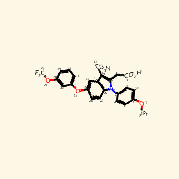 CC(C)Oc1ccc(-n2c(CC(=O)O)c(C(=O)O)c3cc(Oc4cccc(OC(F)(F)F)c4)ccc32)cc1